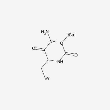 CC(C)CC(NC(=O)OC(C)(C)C)C(=O)NN